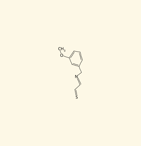 COc1cccc(CN=CC=S)c1